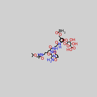 BC(=O)OCc1ccc(O[C@@H]2O[C@H](C(=O)O)[C@@H](O)[C@H](O)[C@H]2O)c(NC(=O)CCNC(=O)C(CCCCNC(=O)C(C)(C)COC(C)C)NC(=O)C(CN)N2C(=O)C=CC2=O)c1